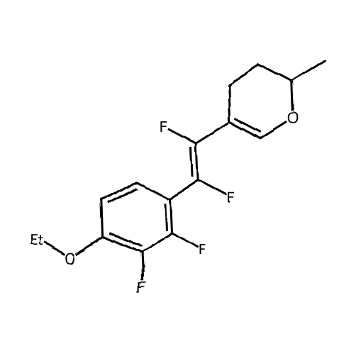 CCOc1ccc(/C(F)=C(\F)C2=COC(C)CC2)c(F)c1F